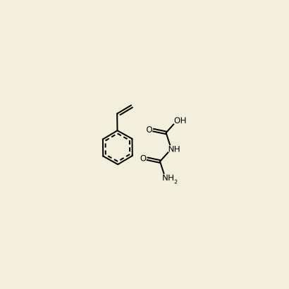 C=Cc1ccccc1.NC(=O)NC(=O)O